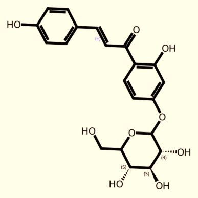 O=C(/C=C/c1ccc(O)cc1)c1ccc(OC2OC(CO)[C@@H](O)[C@H](O)[C@H]2O)cc1O